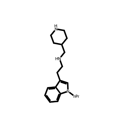 CCCn1cc(CCNCC2CCNCC2)c2ccccc21